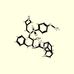 COc1ccc(S(=O)(=O)N(CC2CNC2)C[C@@H](O)[C@H](Cc2ccccc2)NC(=O)OC2C3COC4OCC2C4C3)cc1